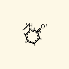 CC.O=c1cccc[nH]1